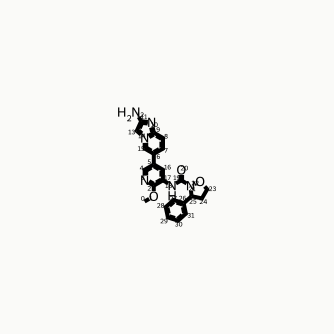 COc1ncc(-c2ccc3nc(N)cn3c2)cc1NC(=O)N1OCCC1c1ccccc1